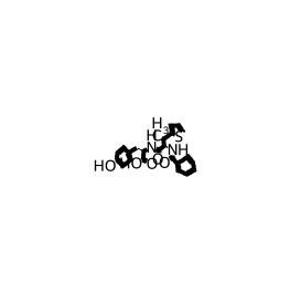 CC(c1cccs1)[C@H](NC(=O)c1ccccc1)C(=O)N[C@@H](Cc1ccc(O)cc1)C(=O)O